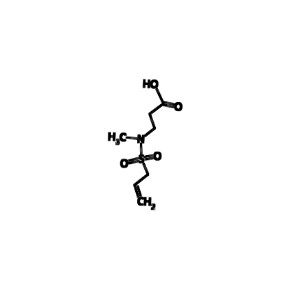 C=CCS(=O)(=O)N(C)CCC(=O)O